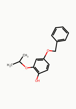 CC(C)Oc1cc(OCc2ccccc2)ccc1O